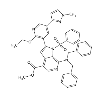 CCOc1ncc(-c2ccn(C)n2)cc1-c1cc2c(C(=O)OC)cnc(N(Cc3ccccc3)Cc3ccccc3)c2n1S(=O)(=O)c1ccccc1